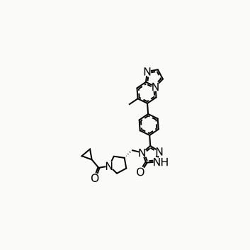 Cc1cc2nccn2cc1-c1ccc(-c2n[nH]c(=O)n2C[C@@H]2CCN(C(=O)C3CC3)C2)cc1